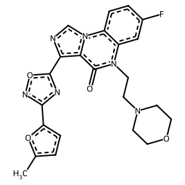 Cc1ccc(-c2noc(-c3ncn4c3c(=O)n(CCN3CCOCC3)c3cc(F)ccc34)n2)o1